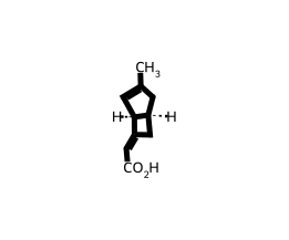 CC1=C[C@@H]2C(=CC(=O)O)C[C@@H]2C1